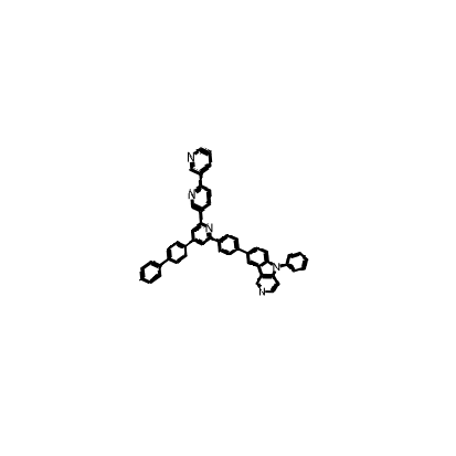 c1ccc(-c2ccc(-c3cc(-c4ccc(-c5ccc6c(c5)c5cnccc5n6-c5ccccc5)cc4)nc(-c4ccc(-c5cccnc5)nc4)c3)cc2)cc1